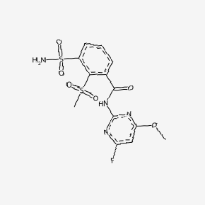 COc1cc(F)nc(NC(=O)c2cccc(S(N)(=O)=O)c2S(C)(=O)=O)n1